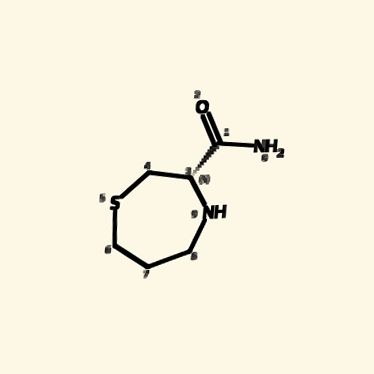 NC(=O)[C@H]1CSCCCN1